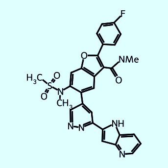 CNC(=O)c1c(-c2ccc(F)cc2)oc2cc(N(C)S(C)(=O)=O)c(-c3cnnc(-c4cc5ncccc5[nH]4)c3)cc12